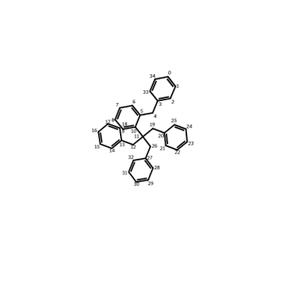 c1ccc(Cc2ccccc2C(Cc2ccccc2)(Cc2ccccc2)Cc2ccccc2)cc1